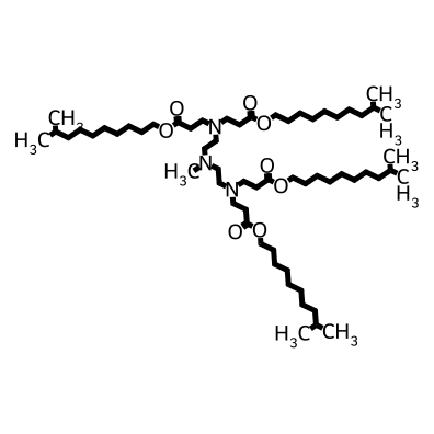 CC(C)CCCCCCCCOC(=O)CCN(CCC(=O)OCCCCCCCCC(C)C)CCN(C)CCN(CCC(=O)OCCCCCCCCC(C)C)CCC(=O)OCCCCCCCCC(C)C